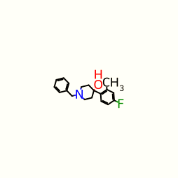 Cc1cc(F)ccc1C1(O)CCN(Cc2ccccc2)CC1